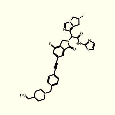 O=C(Nc1nccs1)C(c1ncn2c1C[C@@H](F)C2)N1Cc2c(F)cc(C#Cc3ccc(CN4CCC(CO)CC4)cc3)cc2C1=O